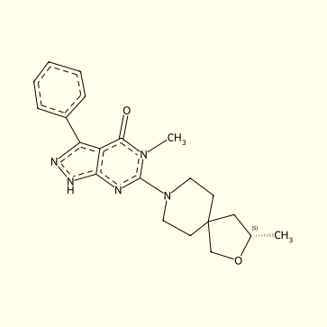 C[C@H]1CC2(CCN(c3nc4[nH]nc(-c5ccccc5)c4c(=O)n3C)CC2)CO1